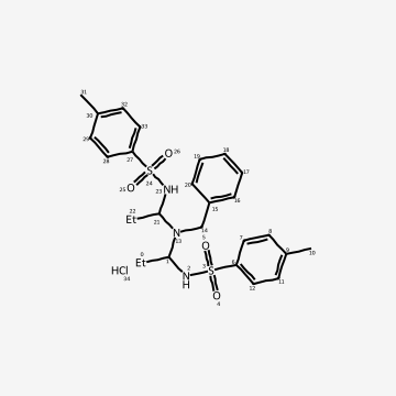 CCC(NS(=O)(=O)c1ccc(C)cc1)N(Cc1ccccc1)C(CC)NS(=O)(=O)c1ccc(C)cc1.Cl